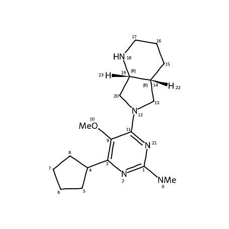 CNc1nc(C2CCCC2)c(OC)c(N2C[C@H]3CCCN[C@H]3C2)n1